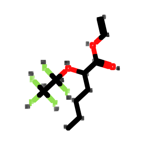 C=COC(=O)C(CCCC)OC(F)(F)C(F)(F)F